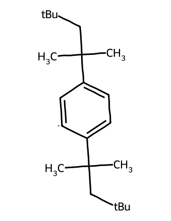 CC(C)(C)CC(C)(C)c1[c]cc(C(C)(C)CC(C)(C)C)cc1